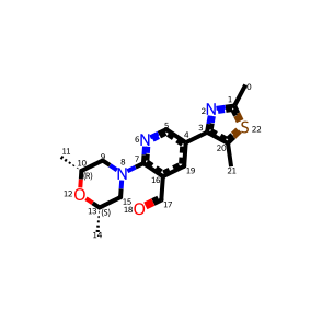 Cc1nc(-c2cnc(N3C[C@@H](C)O[C@@H](C)C3)c(C=O)c2)c(C)s1